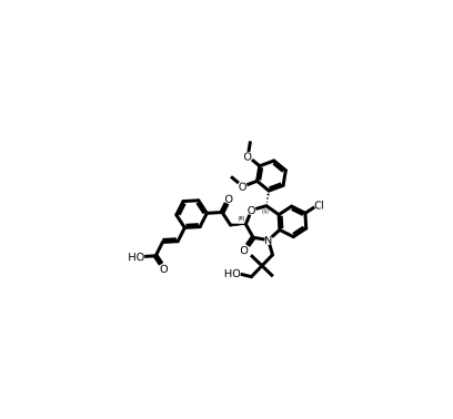 COc1cccc([C@H]2O[C@H](CC(=O)c3cccc(C=CC(=O)O)c3)C(=O)N(CC(C)(C)CO)c3ccc(Cl)cc32)c1OC